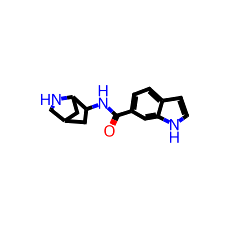 O=C(NC1CC2CNC1C2)c1ccc2cc[nH]c2c1